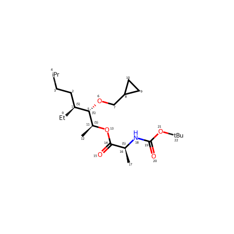 CC[C@@H](CCC(C)C)[C@H](OCC1CC1)[C@H](C)OC(=O)[C@H](C)NC(=O)OC(C)(C)C